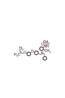 Cc1c(NS(C)(=O)=O)cccc1N(Cc1ccccc1)Cc1ccc(Oc2cccc(OCC(C)C)c2)cc1